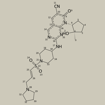 C[C@@]1(O)CCC[C@H]1n1c(=O)c(C#N)cc2cnc(NC3CCN(S(=O)(=O)/C=C/CN4CCCC4)CC3)nc21